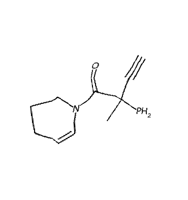 C#CC(C)(P)C(=O)N1C=CCCC1